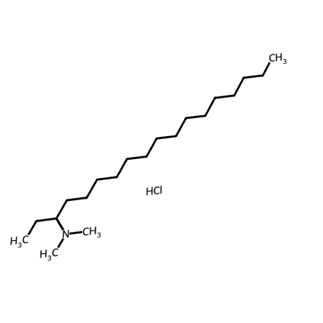 CCCCCCCCCCCCCCCC(CC)N(C)C.Cl